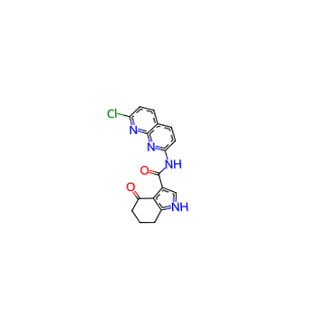 O=C(Nc1ccc2ccc(Cl)nc2n1)c1c[nH]c2c1C(=O)CCC2